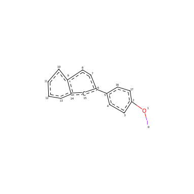 IOc1ccc(-c2ccc3ccccc3c2)cc1